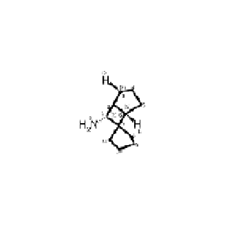 N[C@@]12C3[C@H]1CC[C@@H]3C21CCCC1